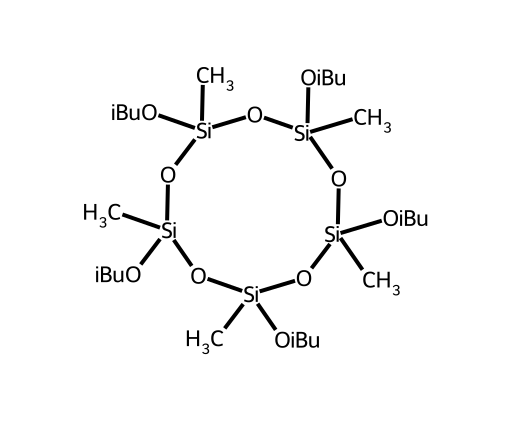 CC(C)CO[Si]1(C)O[Si](C)(OCC(C)C)O[Si](C)(OCC(C)C)O[Si](C)(OCC(C)C)O[Si](C)(OCC(C)C)O1